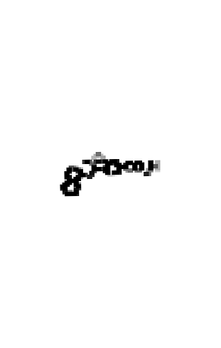 CC1Oc2cc(C(=O)O)ccc2C1Cc1cccc2ccccc12